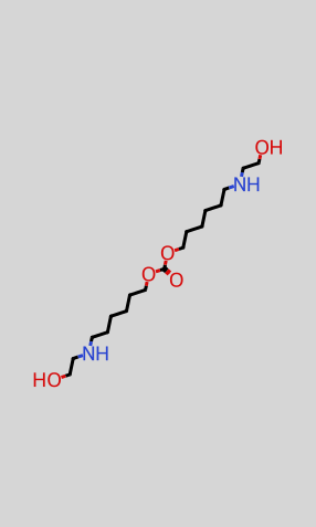 O=C(OCCCCCCNCCO)OCCCCCCNCCO